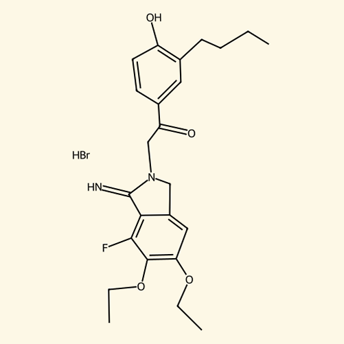 Br.CCCCc1cc(C(=O)CN2Cc3cc(OCC)c(OCC)c(F)c3C2=N)ccc1O